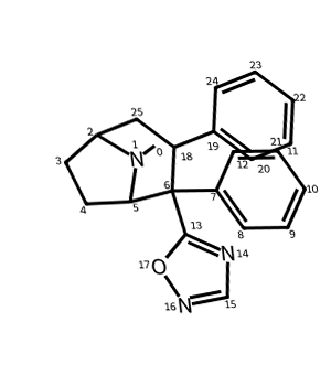 CN1C2CCC1C(c1ccccc1)(c1ncno1)C(c1ccccc1)C2